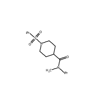 CC(C)N(C)C(=O)C1CCN(S(=O)(=O)C(C)C)CC1